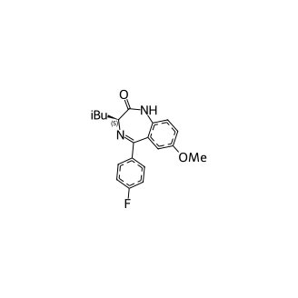 CCC(C)[C@@H]1N=C(c2ccc(F)cc2)c2cc(OC)ccc2NC1=O